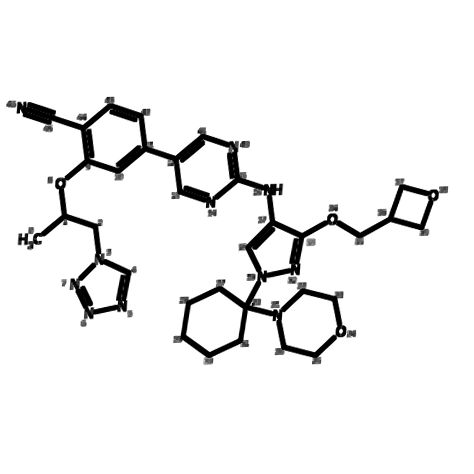 CC(Cn1cnnn1)Oc1cc(-c2cnc(Nc3cn(C4(N5CCOCC5)CCCCC4)nc3OCC3COC3)nc2)ccc1C#N